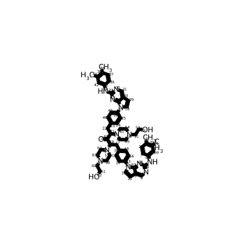 Cc1ccc(Nc2ncc3ccn(-c4ccc(CC(C(=O)C(Cc5ccc(-n6ccc7cnc(Nc8ccc(C)c(C)c8)nc76)cc5)N5CCN(CCO)CC5)N5CCN(CCO)CC5)cc4)c3n2)cc1C